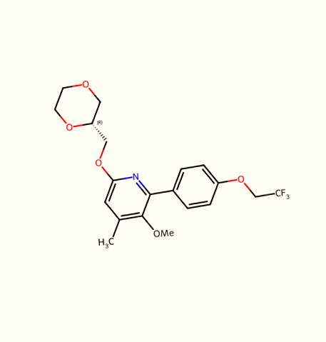 COc1c(C)cc(OC[C@H]2COCCO2)nc1-c1ccc(OCC(F)(F)F)cc1